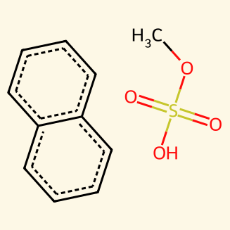 COS(=O)(=O)O.c1ccc2ccccc2c1